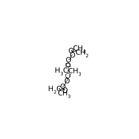 C=C(C)C(=O)OCCOC1=CCC(C(C)(C)c2ccc(OCCOC(=O)C(=C)C)cc2)C=C1